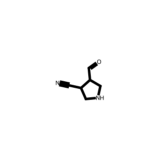 N#CC1CNCC1C=O